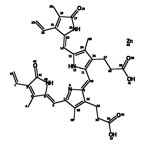 C=CC1=C(C)/C(=C/C2=NC(=C\c3[nH]c(/C=C4\NC(=O)C(C)=C4C=C)c(C)c3CCC(=O)O)/C(CCC(=O)O)=C2C)NC1=O.[Zn]